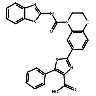 O=C(O)c1nc(-c2ccc3c(c2)N(C(=O)Nc2nc4ccccc4s2)CCO3)sc1-c1ccccc1